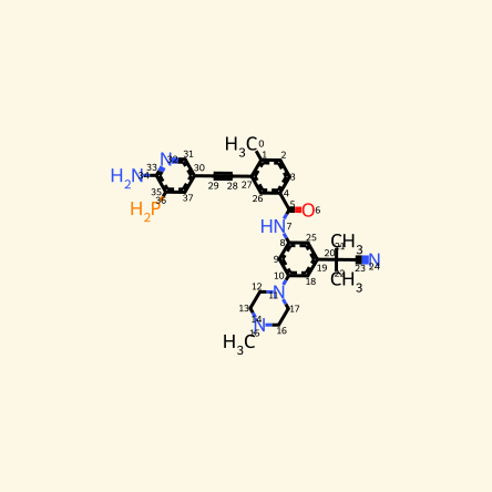 Cc1ccc(C(=O)Nc2cc(N3CCN(C)CC3)cc(C(C)(C)C#N)c2)cc1C#Cc1cnc(N)c(P)c1